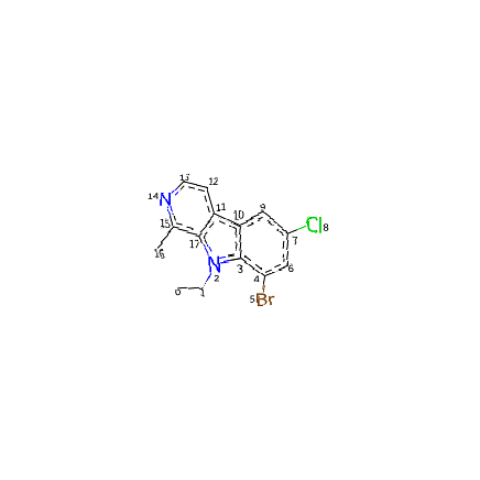 CCn1c2c(Br)cc(Cl)cc2c2ccnc(C)c21